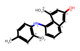 Cc1ccc(Nc2cccc3cc(O)cc(S(=O)(=O)O)c23)c([N+](=O)[O-])c1